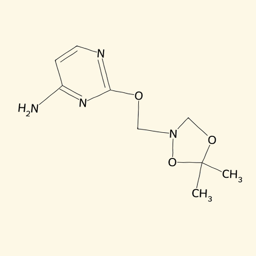 CC1(C)OCN(COc2nccc(N)n2)O1